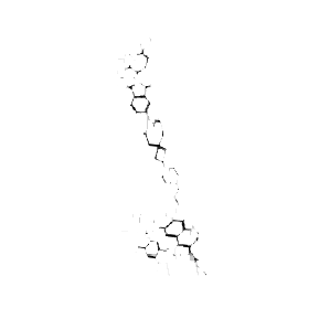 COc1cc(Nc2c(C#N)cnc3cc(OCCCN4CCN(C5CC6(CCN(c7ccc8c(c7)C(=O)N(C7CCC(=O)NC7=O)C8=O)CC6)C5)CC4)c(OC)cc23)c(Cl)cc1Cl